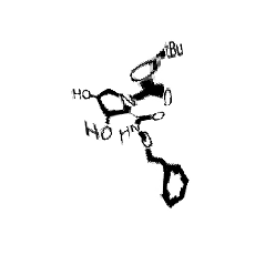 CC(C)(C)OC(=O)N1C[C@H](O)[C@H](O)[C@H]1C(=O)NOCc1ccccc1